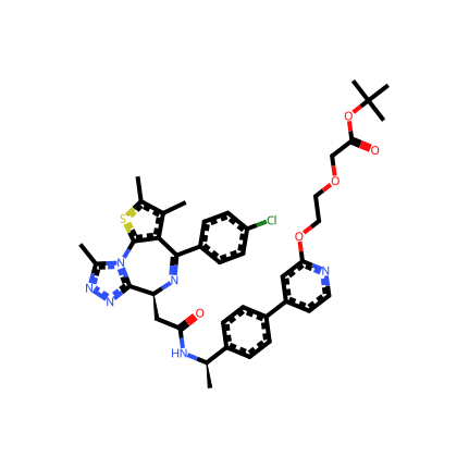 Cc1sc2c(c1C)C(c1ccc(Cl)cc1)=N[C@@H](CC(=O)N[C@H](C)c1ccc(-c3ccnc(OCCOCC(=O)OC(C)(C)C)c3)cc1)c1nnc(C)n1-2